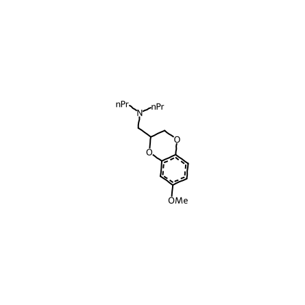 CCCN(CCC)CC1COc2ccc(OC)cc2O1